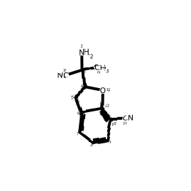 CC(N)(C#N)C1Cc2cccc(C#N)c2O1